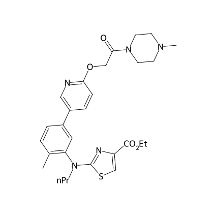 CCCN(c1nc(C(=O)OCC)cs1)c1cc(-c2ccc(OCC(=O)N3CCN(C)CC3)nc2)ccc1C